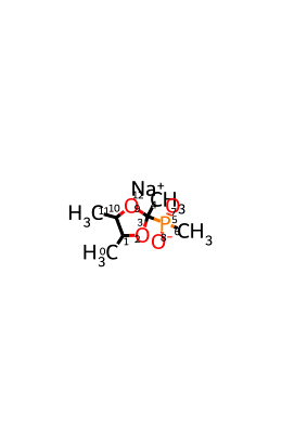 CC1OC(C)(P(C)(=O)[O-])OC1C.[Na+]